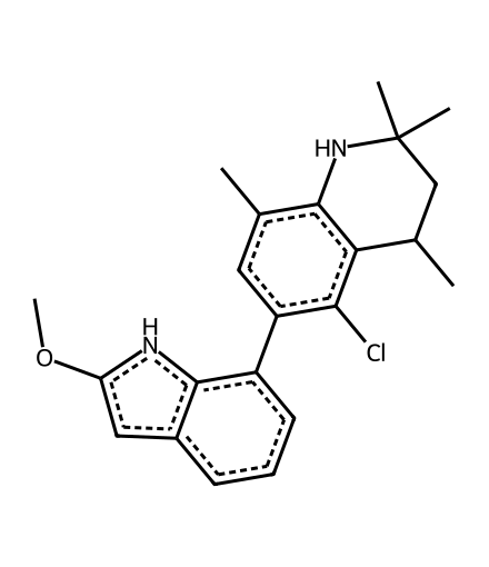 COc1cc2cccc(-c3cc(C)c4c(c3Cl)C(C)CC(C)(C)N4)c2[nH]1